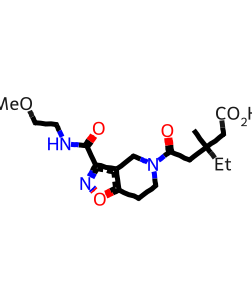 CCC(C)(CC(=O)O)CC(=O)N1CCc2onc(C(=O)NCCOC)c2C1